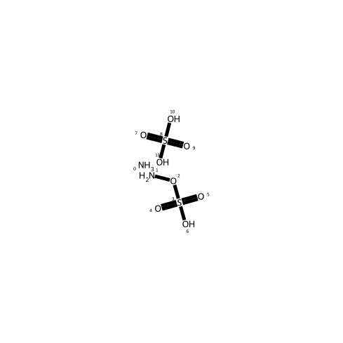 N.NOS(=O)(=O)O.O=S(=O)(O)O